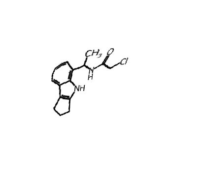 CC(NC(=O)CCl)c1cccc2c3c([nH]c12)CCC3